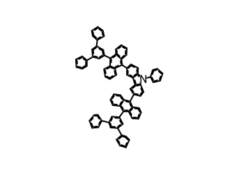 c1ccc(-c2cc(-c3ccccc3)cc(-c3c4ccccc4c(-c4ccc5c(c4)c4cc(-c6c7ccccc7c(-c7cc(-c8ccccc8)cc(-c8ccccc8)c7)c7ccccc67)ccc4n5-c4ccccc4)c4ccccc34)c2)cc1